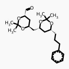 CC1(C)O[C@H](CCCc2ccccc2)C[C@H](C[C@@H]2C[C@@H](C=O)OC(C)(C)O2)O1